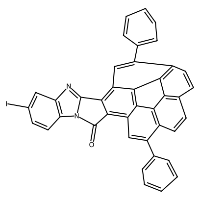 O=c1c2c3cc(-c4ccccc4)c4ccc5ccc6c(-c7ccccc7)cc(c7c6c5c4c37)c2c2nc3cc(I)ccc3n12